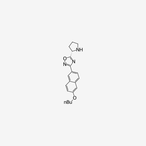 CCCCOc1ccc2cc(-c3noc([C@@H]4CCCN4)n3)ccc2c1